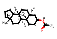 C[C@@]12CCC[C@H]1[C@@H]1CC[C@H]3CC(OC(=O)C(F)(F)F)CC[C@]3(C)[C@H]1CC2